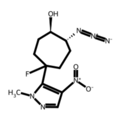 Cn1ncc([N+](=O)[O-])c1C1(F)CC[C@@H](O)[C@H](N=[N+]=[N-])CC1